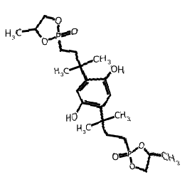 CC1COP(=O)(CCC(C)(C)c2cc(O)c(C(C)(C)CCP3(=O)OCC(C)O3)cc2O)O1